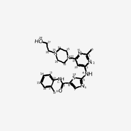 Cc1nc(Nc2ncc(C(=O)Nc3ccccc3C)s2)cc(N2CCN(CCO)CC2)n1